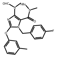 CCCCN(C)C(=O)c1c(N(C)C=O)nc(Oc2cccc(C)c2)n1Cc1ccc(F)cc1